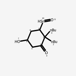 CCCCC1(CCCC)C(=O)CC(O)C[CH]1[SnH]=[O]